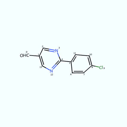 O=Cc1cnc(-c2ccc(Cl)cc2)nc1